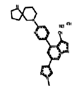 Cl.Cl.Cn1cc(-c2cc(-c3ccc(N4CCCC5(CCCN5)C4)nc3)c3c(C#N)cnn3c2)cn1